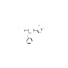 CCn1c(C(=O)NC(Cc2ccccc2)C(=O)C(N)=O)cnc1C